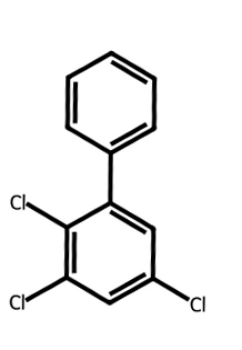 Clc1cc(Cl)c(Cl)c(-c2ccccc2)c1